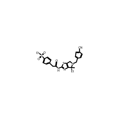 CC[C@@]1(C)c2nc(NC(=O)Cc3ccc(S(=O)(=O)CC)cc3)sc2CN1Cc1ccc(C#N)cc1